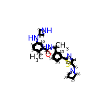 Cc1ccc(NC2CNC2)cc1C(=O)N[C@H](C)c1cccc(-c2ncc(CN3CCCC3)s2)c1